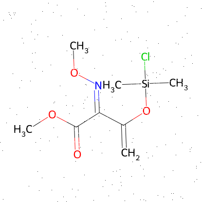 C=C(O[Si](C)(C)Cl)C(=NOC)C(=O)OC